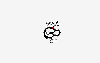 CC(C)(C)[Si](C)(C)OC12C#C/C=C\C#CC(O)C(=CCC1)C2=O